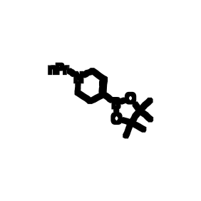 CCCN1CC=C(B2OC(C)(C)C(C)(C)O2)CC1